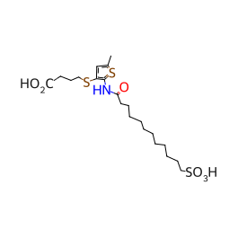 Cc1cc(SCCCC(=O)O)c(NC(=O)CCCCCCCCCCCS(=O)(=O)O)s1